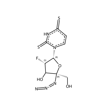 [N-]=[N+]=N[C@]1(CO)O[C@@H](n2ccc(=S)[nH]c2=S)[C@@H](F)C1O